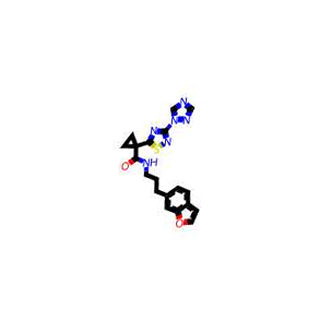 O=C(NCCCc1ccc2ccoc2c1)C1(c2nc(-n3cncn3)ns2)CC1